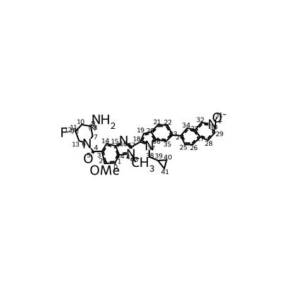 COc1cc(C(=O)N2C[C@H](N)C[C@@H](F)C2)cc2nc(-c3cc4ccc(-c5ccc6cc[n+]([O-])cc6c5)cc4n3CC3CC3)n(C)c12